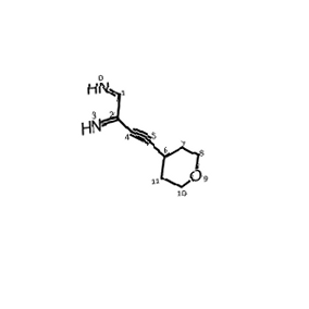 N=CC(=N)C#CC1CCOCC1